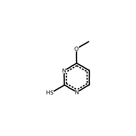 COc1ccnc(S)n1